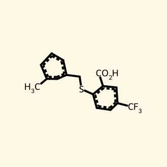 Cc1cccc(CSc2ccc(C(F)(F)F)cc2C(=O)O)c1